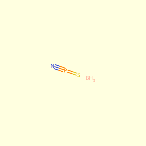 B.N#P=S